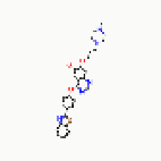 COc1cc2c(Oc3ccc(-c4nc5ccccc5s4)cc3)ncnc2cc1OCCCN1CCN(C)CC1